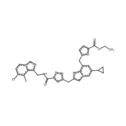 CCOC(=O)c1ccn(Cc2cc(C3CC3)cn3cc(Cn4cc(C(=O)NCc5ncn6ccc(Cl)c(F)c56)nn4)nc23)n1